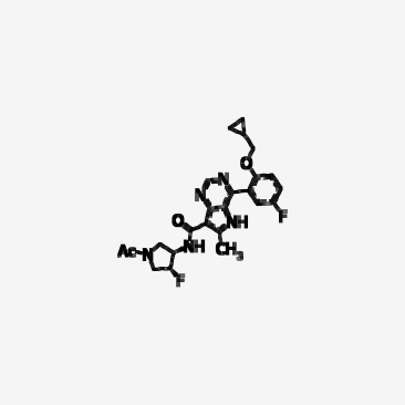 CC(=O)N1C[C@H](F)[C@H](NC(=O)c2c(C)[nH]c3c(-c4cc(F)ccc4OCC4CC4)ncnc23)C1